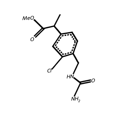 COC(=O)C(C)c1ccc(CNC(N)=O)c(Cl)c1